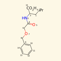 CC(C)CC(NC(=O)COCc1ccccc1)C(=O)O